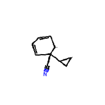 N#CC1(C2CC2)[CH]C=CC=C1